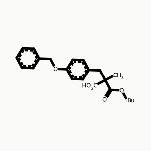 CCC(C)OC(=O)C(C)(Cc1ccc(OCc2ccccc2)cc1)C(=O)O